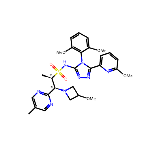 COc1cccc(-c2nnc(NS(=O)(=O)[C@H](C)[C@H](c3ncc(C)cn3)N3CC(OC)C3)n2-c2c(OC)cccc2OC)n1